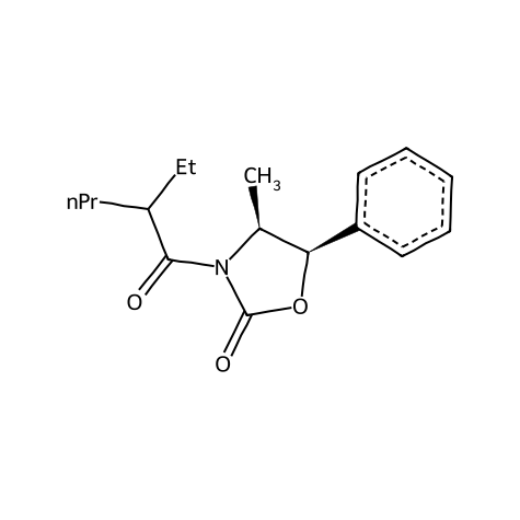 CCCC(CC)C(=O)N1C(=O)O[C@H](c2ccccc2)[C@@H]1C